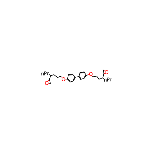 CCCC(CCCOc1ccc(-c2ccc(OCCCC(CCC)C3CO3)cc2)cc1)C1CO1